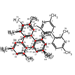 Cc1ccc(-c2cc(C)nc(C)c2-c2cc(C)nc(C)c2-c2cc(C)nc(C)c2-c2cc(C)nc(C)c2-c2cc(C)nc(C)c2-c2cc(C)nc(C)c2-c2cc(C)nc(C)c2-c2cc(C)nc(C)c2-c2ccc(C)nc2C)c(C)n1